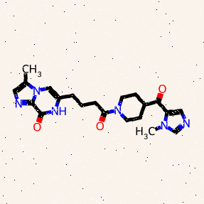 Cc1cnc2c(=O)[nH]c(CCCC(=O)N3CCC(C(=O)c4cncn4C)CC3)cn12